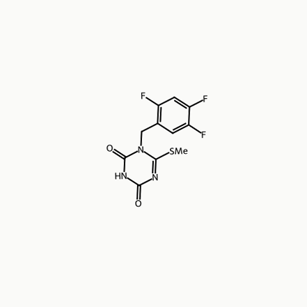 CSc1nc(=O)[nH]c(=O)n1Cc1cc(F)c(F)cc1F